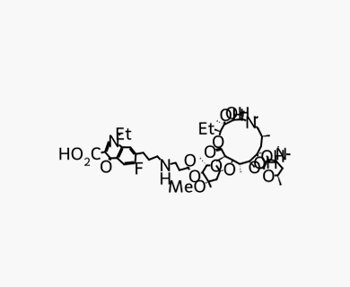 CC[C@@H]1OC(=O)[C@H](C)[C@H](O[C@@H]2C[C@](C)(OC)[C@H](OC(=O)CCNCCCc3cc4c(cc3F)c(=O)c(C(=O)O)cn4CC)[C@H](C)O2)[C@@H](C)[C@H](O[C@@H]2O[C@H](C)C[C@H](N(C)C)[C@@H]2O)[C@](C)(O)C[C@H](C)CN(C)[C@H](C)[C@@H](O)[C@]1(C)O